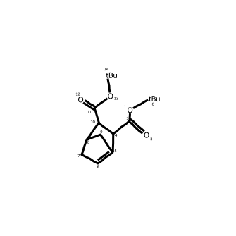 CC(C)(C)OC(=O)C1C2=CCC(C2)C1C(=O)OC(C)(C)C